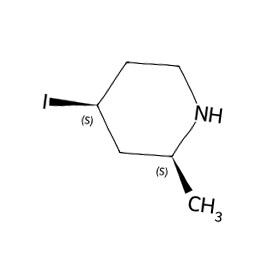 C[C@H]1C[C@@H](I)CCN1